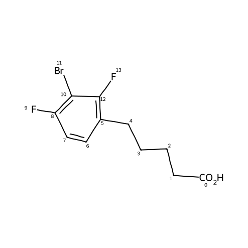 O=C(O)CCCCc1ccc(F)c(Br)c1F